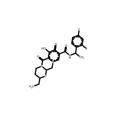 CCC1CCN2C(=O)c3c(O)c(=O)c(C(=O)NC(C)c4ccc(F)cc4F)cn3CC2O1